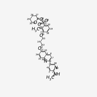 CNc1ccc(-c2ccc3cc(OCCCOc4cccc(S(=O)(=O)OC5CCCCO5)c4C)ccc3n2)cn1